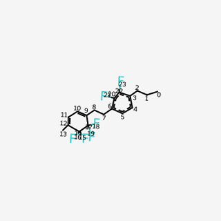 CCCc1ccc(CCC2=CC=C(C)C(F)(F)C2(F)F)c(F)c1F